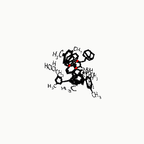 Cc1cc(C)cc(-c2ccc(-c3cc(C)cc(C)c3)c3c2C=C(CC24CC5CC(CC(C5)C2)C4)[CH]3[Zr]([CH3])([CH3])(=[SiH2])[CH]2C(CC34CC5CC(CC(C5)C3)C4)=Cc3c(-c4cc(C)cc(C)c4)ccc(-c4cc(C)cc(C)c4)c32)c1.Cl.Cl